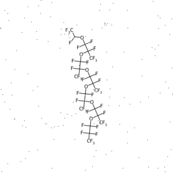 FC(OC(F)(F)C(F)(OC(F)(F)C(F)(OC(F)(F)C(F)(OC(F)(F)C(F)(OC(F)(F)C(F)(OC(F)(F)C(F)(F)C(F)(F)F)C(F)(F)F)C(F)(F)F)C(F)(F)F)C(F)(F)F)C(F)(F)F)C(F)(F)F